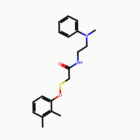 Cc1cccc(OSCC(=O)NCCN(C)c2ccccc2)c1C